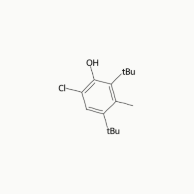 Cc1c(C(C)(C)C)cc(Cl)c(O)c1C(C)(C)C